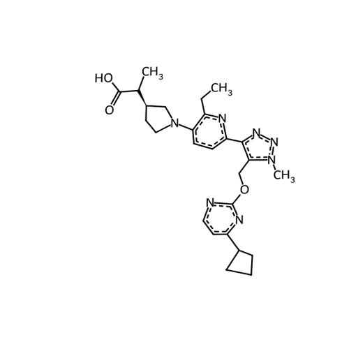 CCc1nc(-c2nnn(C)c2COc2nccc(C3CCC3)n2)ccc1N1CC[C@@H](C(C)C(=O)O)C1